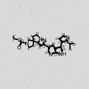 CCOC(=O)N1CCC2(CCn3nc(-c4cnc5[nH]cc(-c6ccnn6C(C)C)c5c4)cc32)C1